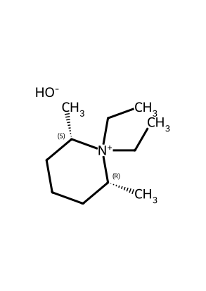 CC[N+]1(CC)[C@H](C)CCC[C@@H]1C.[OH-]